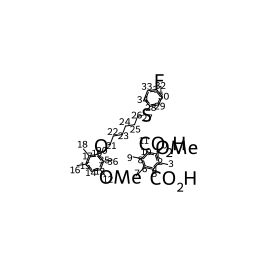 COc1c(C)c(C(=O)O)c(C)c(C)c1C(=O)O.COc1cc(C)c(C)c(OCCCCCCSc2ccc(F)cc2)c1C